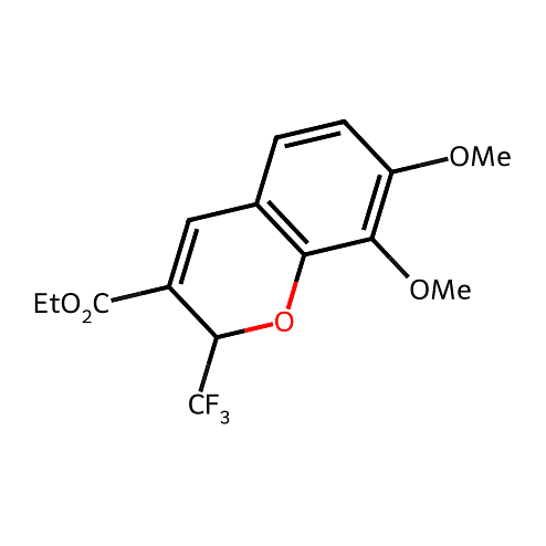 CCOC(=O)C1=Cc2ccc(OC)c(OC)c2OC1C(F)(F)F